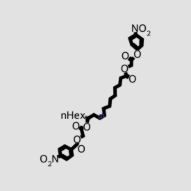 CCCCCC[C@H](C/C=C\CCCCCCCC(=O)OCC(=O)Oc1ccc([N+](=O)[O-])cc1)OC(=O)COC(=O)c1ccc([N+](=O)[O-])cc1